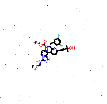 CC(C)(O)C#Cc1ccc(-c2cccn3c(NCC(F)(F)F)nnc23)c([C@H](Cc2cc(F)cc(F)c2)NC(=O)OC(C)(C)C)n1